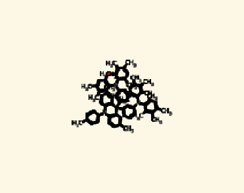 Cc1ccc(N2c3ccc(C)cc3C(c3cccc(N(c4c(C)cc(C)c(C)c4C)c4c(C)cc(C)c(C)c4C)c3)(c3cccc(N(c4c(C)cc(C)c(C)c4C)c4c(C)cc(C)c(C)c4C)c3)c3cc(C)ccc32)cc1